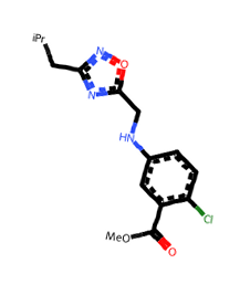 COC(=O)c1cc(NCc2nc(CC(C)C)no2)ccc1Cl